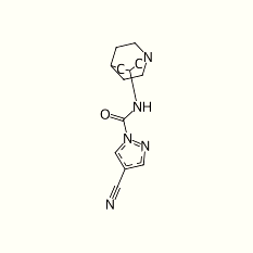 N#Cc1cnn(C(=O)NC2CC3CCN(CC3)C2)c1